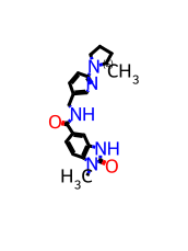 C[C@H]1CCCN1c1ccc(CNC(=O)c2ccc3c(c2)[nH]c(=O)n3C)cn1